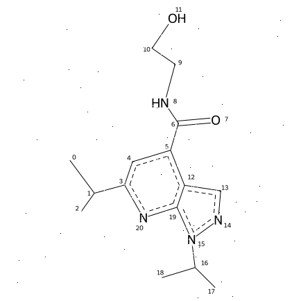 CC(C)c1cc(C(=O)NCCO)c2cnn(C(C)C)c2n1